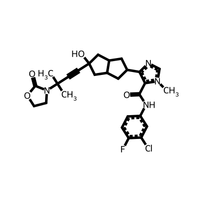 Cn1cnc(C2CC3CC(O)(C#CC(C)(C)N4CCOC4=O)CC3C2)c1C(=O)Nc1ccc(F)c(Cl)c1